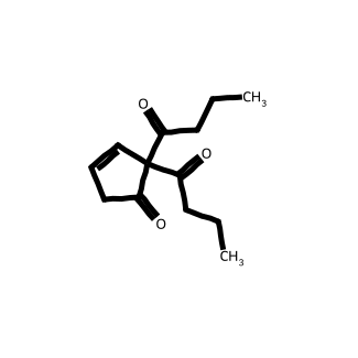 CCCC(=O)C1(C(=O)CCC)C=CCC1=O